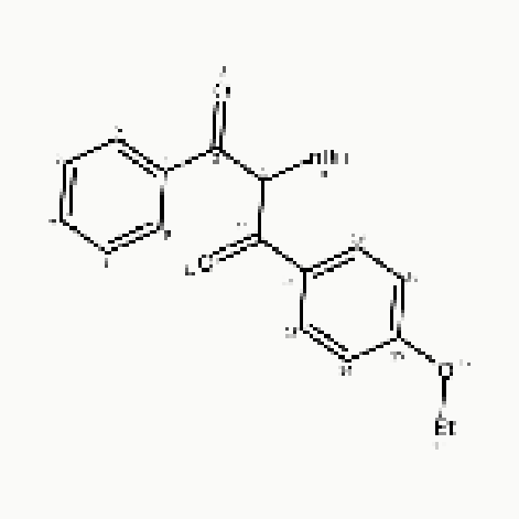 CCCCC(C(=O)c1ccccc1)C(=O)c1ccc(OCC)cc1